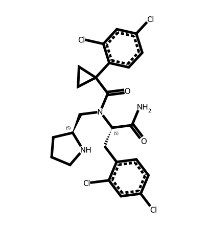 NC(=O)[C@H](Cc1ccc(Cl)cc1Cl)N(C[C@@H]1CCCN1)C(=O)C1(c2ccc(Cl)cc2Cl)CC1